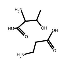 CC(O)C(N)C(=O)O.NCCC(=O)O